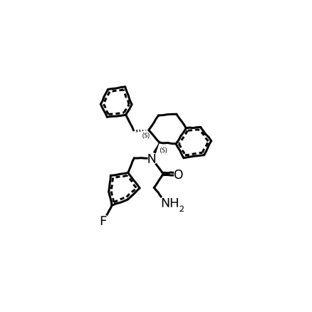 NCC(=O)N(Cc1ccc(F)cc1)[C@@H]1c2ccccc2CC[C@H]1Cc1ccccc1